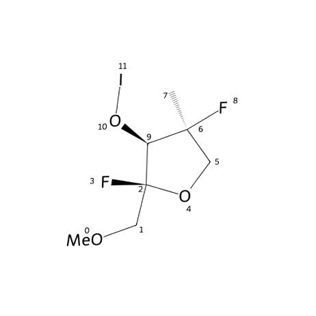 COC[C@@]1(F)OC[C@](C)(F)[C@@H]1OI